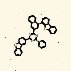 c1ccc(-c2nc(-c3cc(-c4cccc5c4oc4ccccc45)c4ccccc4c3)nc(-c3ccc4oc5ccccc5c4c3)n2)cc1